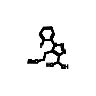 COCCc1c(C(O)O)nnn1-c1ccccc1F